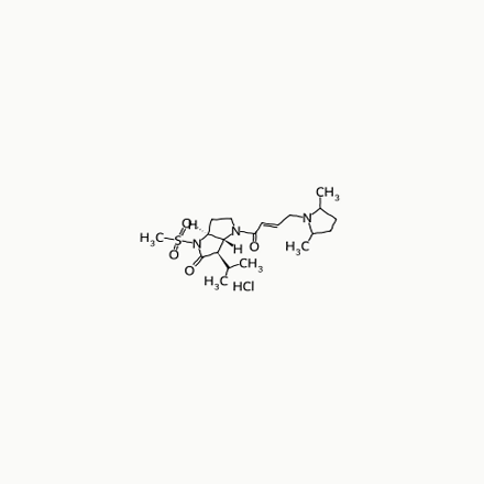 CC(C)[C@H]1C(=O)N(S(C)(=O)=O)[C@H]2CCN(C(=O)/C=C/CN3C(C)CCC3C)[C@H]12.Cl